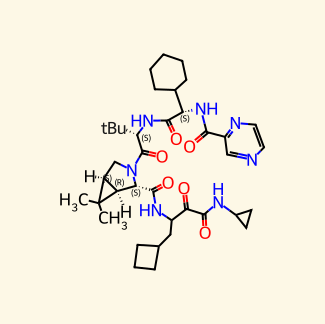 CC(C)(C)[C@H](NC(=O)[C@@H](NC(=O)c1cnccn1)C1CCCCC1)C(=O)N1C[C@H]2[C@@H]([C@H]1C(=O)NC(CC1CCC1)C(=O)C(=O)NC1CC1)C2(C)C